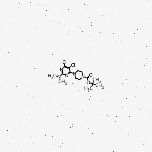 CN(C)c1nc(Cl)c(Cl)c(N2CCN(C(=O)OC(C)(C)C)CC2)n1